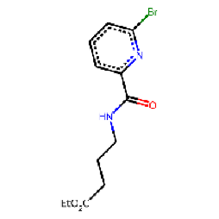 CCOC(=O)CCCNC(=O)c1cccc(Br)n1